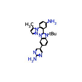 Cc1ccnn1-c1ccc(N)cc1-c1nc2cc(-c3cnc(N)nc3)ccc2n1C(C)(C)C